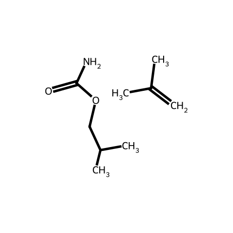 C=C(C)C.CC(C)COC(N)=O